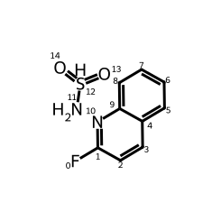 Fc1ccc2ccccc2n1.N[SH](=O)=O